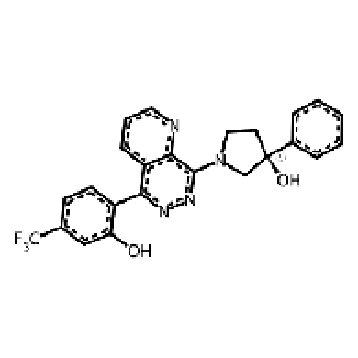 Oc1cc(C(F)(F)F)ccc1-c1nnc(N2CC[C@](O)(c3ccccc3)C2)c2ncccc12